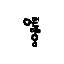 CN(CC(C)(O)c1ccccc1)S(=O)(=O)c1ccc(Cl)cc1